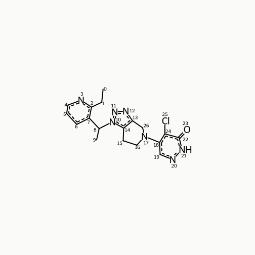 CCc1ncccc1C(C)n1nnc2c1CCN(c1cn[nH]c(=O)c1Cl)C2